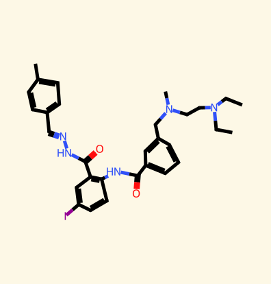 CCN(CC)CCN(C)Cc1cccc(C(=O)Nc2ccc(I)cc2C(=O)NN=Cc2ccc(C)cc2)c1